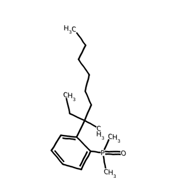 CCCCCCC(C)(CC)c1ccccc1P(C)(C)=O